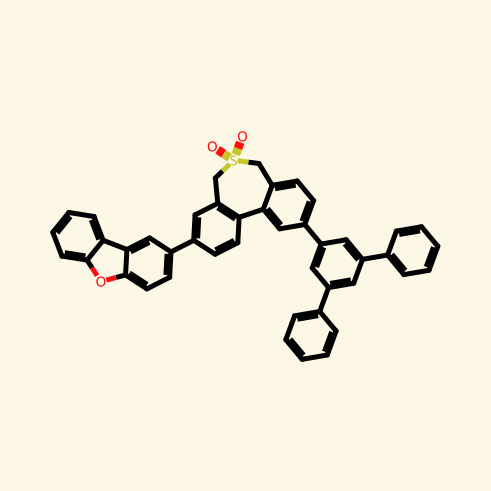 O=S1(=O)Cc2cc(-c3ccc4oc5ccccc5c4c3)ccc2-c2cc(-c3cc(-c4ccccc4)cc(-c4ccccc4)c3)ccc2C1